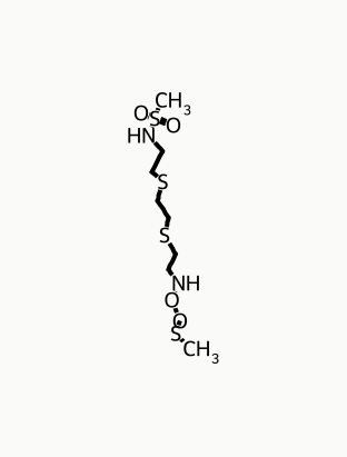 CSOONCCSCCSCCNS(C)(=O)=O